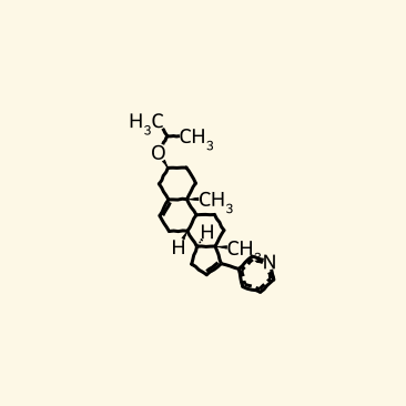 CC(C)O[C@H]1CC[C@@]2(C)C(=CC[C@@H]3C2CC[C@]2(C)C(c4cccnc4)=CC[C@@H]32)C1